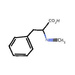 C=NC(Cc1ccccc1)C(=O)O